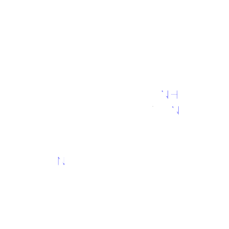 CC1=CC2=CC(CCc3ccc(C)nc3)CC3CC(C)NC23C=N1